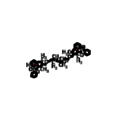 Cc1cc(C)c(C(=O)P(=O)(c2ccccc2)c2ccccc2)c(C)c1COCCOC(C)(C)COC(C)(C)CCOCc1c(C)cc(C)c(C(=O)P(=O)(c2ccccc2)c2ccccc2)c1C